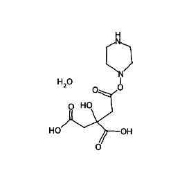 O.O=C(O)CC(O)(CC(=O)ON1CCNCC1)C(=O)O